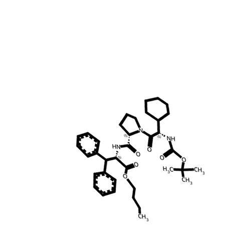 CCCCOC(=O)[C@@H](NC(=O)[C@@H]1CCCN1C(=O)[C@@H](NC(=O)OC(C)(C)C)C1CCCCC1)C(c1ccccc1)c1ccccc1